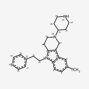 Cc1ccc2c(c1)c1c(n2CCc2ccncc2)CCN(C2CCNCC2)C1